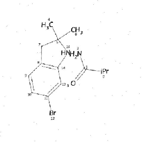 CC(C)C(N)=O.CC1(C)Cc2ccc(Br)cc2N1